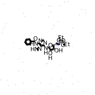 CCOP(=O)(/C=C/[C@H]1O[C@@H](Nc2ncnc(NC(=O)c3ccccc3)c2N=N)[C@H](O)[C@@H]1O)OCC